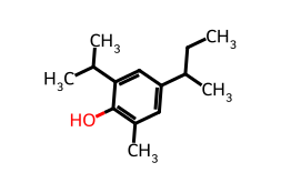 CCC(C)c1cc(C)c(O)c(C(C)C)c1